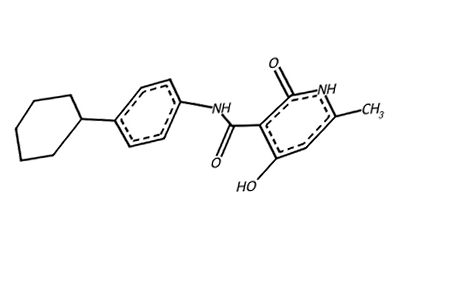 Cc1cc(O)c(C(=O)Nc2ccc(C3CCCCC3)cc2)c(=O)[nH]1